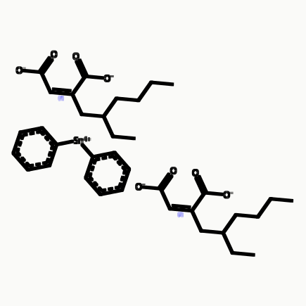 CCCCC(CC)C/C(=C/C(=O)[O-])C(=O)[O-].CCCCC(CC)C/C(=C/C(=O)[O-])C(=O)[O-].c1cc[c]([Sn+4][c]2ccccc2)cc1